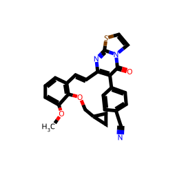 COc1cccc(/C=C/c2nc3sccn3c(=O)c2-c2ccc(C#N)cc2)c1OCC1CC1